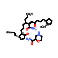 CCCCCCC=C[C@H]1CCC(=O)[C@@H]1CCCC(CCC(=O)O)C(=CC(=O)CCC[C@H]1CCC[C@@H]1CCCCCCCC)C(N)=O.NC(=O)C1CNCCO1